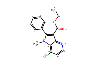 CCOC(=O)c1c(-c2ccccc2)n(C)c2c(Cl)ccnc12